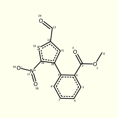 COC(=O)c1ccccc1-c1cc(C=O)sc1[N+](=O)[O-]